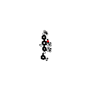 COc1cc(-c2ccc(OS(C)(=O)=O)cc2)c(OC)c(OS(C)(=O)=O)c1-c1ccc(OCc2cccc(N(C)C)c2)c(OS(C)(=O)=O)c1